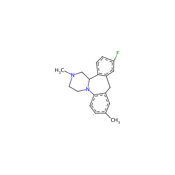 Cc1ccc2c(c1)Cc1cc(F)ccc1C1CN(C)CCN21